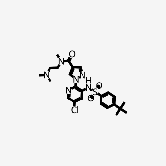 CN(C)CCN(C)C(=O)c1cnn(-c2ncc(Cl)cc2NS(=O)(=O)c2ccc(C(C)(C)C)cc2)c1